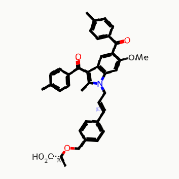 COc1cc2c(cc1C(=O)c1ccc(C)cc1)c(C(=O)c1ccc(C)cc1)c(C)n2C/C=C/c1ccc(CO[C@H](C)C(=O)O)cc1